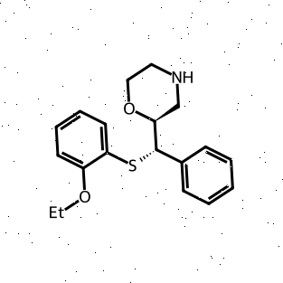 CCOc1ccccc1S[C@@H](c1ccccc1)[C@@H]1CNCCO1